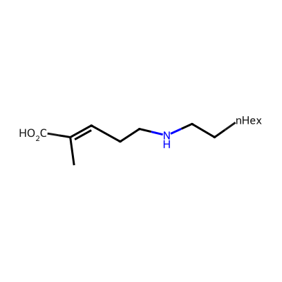 CCCCCCCCNCCC=C(C)C(=O)O